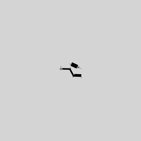 C#N.C=C[CH2][Al]